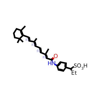 CCC(c1ccc(NC(=O)/C=C(C)/C=C/C=C(C)/C=C/C2=C(C)CCCC2(C)C)cc1)S(=O)(=O)O